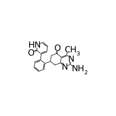 Cc1nc(N)nc2c1C(=O)CC(c1ccccc1-c1ccc[nH]c1=O)C2